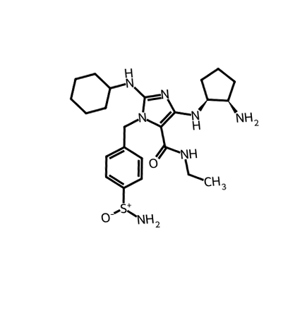 CCNC(=O)c1c(N[C@H]2CCC[C@H]2N)nc(NC2CCCCC2)n1Cc1ccc([S+](N)[O-])cc1